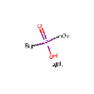 CCCCP(=O)(O)C(C)CC.[AlH3]